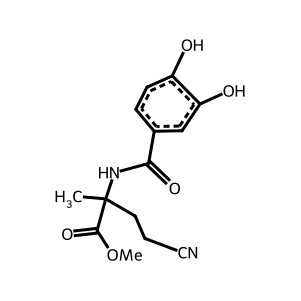 COC(=O)C(C)(CCC#N)NC(=O)c1ccc(O)c(O)c1